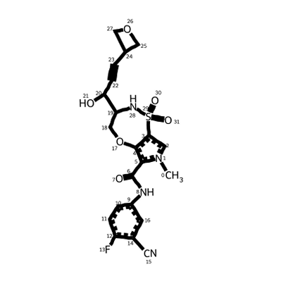 Cn1cc2c(c1C(=O)Nc1ccc(F)c(C#N)c1)OCC(C(O)C#CC1COC1)NS2(=O)=O